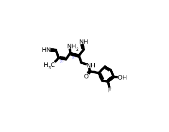 C/C(C=N)=C/C(N)=C(/C=N)CNC(=O)c1ccc(O)c(F)c1